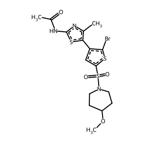 COC1CCN(S(=O)(=O)c2cc(-c3sc(NC(C)=O)nc3C)c(Br)s2)CC1